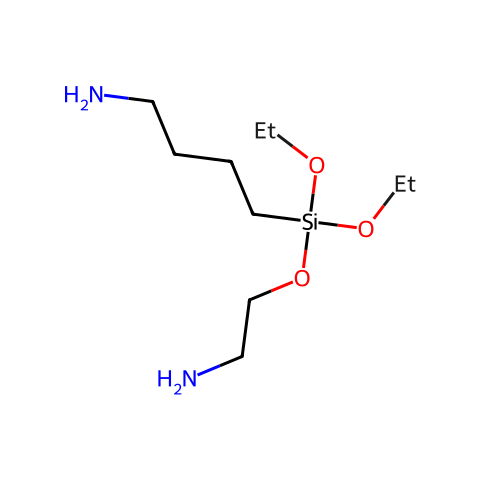 CCO[Si](CCCCN)(OCC)OCCN